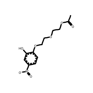 CC(=O)OCCOCCOc1ccc([N+](=O)[O-])cc1O